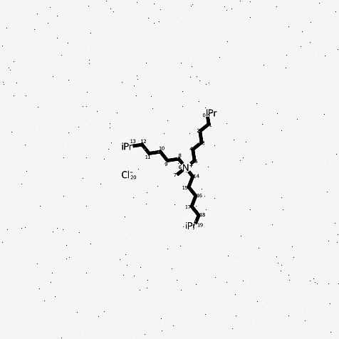 CC(C)CCCCC[N+](C)(CCCCCC(C)C)CCCCCC(C)C.[Cl-]